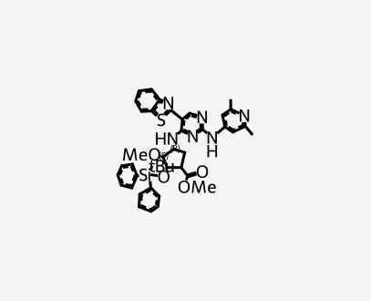 COC(=O)C1C[C@@H](Nc2nc(Nc3cc(C)nc(C)c3)ncc2-c2nc3ccccc3s2)[C@H](OC)C1O[Si](c1ccccc1)(c1ccccc1)C(C)(C)C